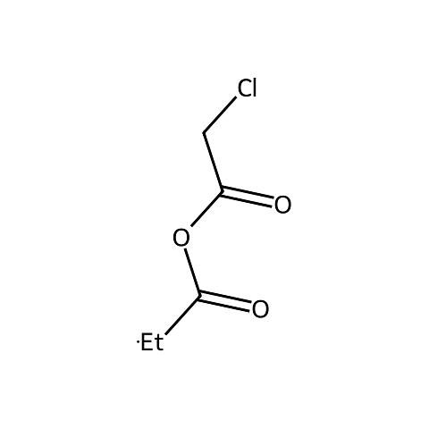 C[CH]C(=O)OC(=O)CCl